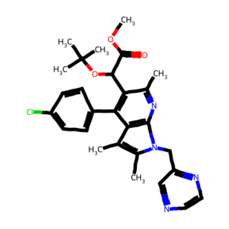 COC(=O)C(OC(C)(C)C)c1c(C)nc2c(c(C)c(C)n2Cc2cnccn2)c1-c1ccc(Cl)cc1